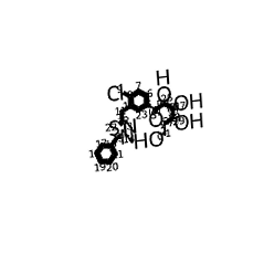 OC[C@H]1O[C@@H](c2ccc(Cl)c(Cc3nnc(-c4ccccc4)s3)c2)[C@H](O)[C@@H](O)[C@@H]1O